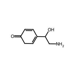 NCC(O)C1=CCC(=O)C=C1